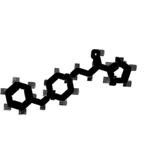 O=C(CCN1CCN(Cc2ccccc2)CC1)c1nccs1